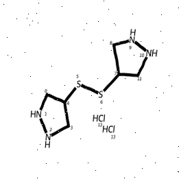 C1NNCC1SSC1CNNC1.Cl.Cl